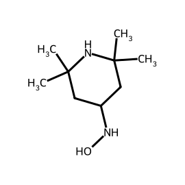 CC1(C)CC(NO)CC(C)(C)N1